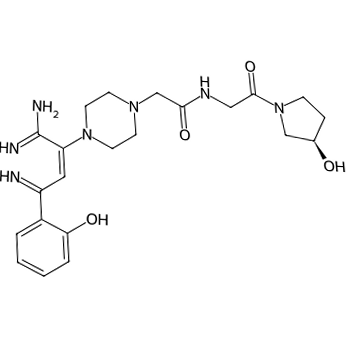 N=C(N)/C(=C\C(=N)c1ccccc1O)N1CCN(CC(=O)NCC(=O)N2CC[C@@H](O)C2)CC1